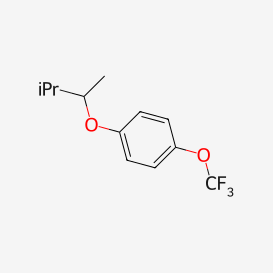 CC(C)C(C)Oc1ccc(OC(F)(F)F)cc1